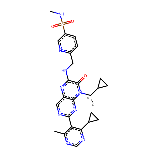 CNS(=O)(=O)c1ccc(CNc2nc3cnc(-c4c(C)ncnc4C4CC4)nc3n([C@@H](C)C3CC3)c2=O)nc1